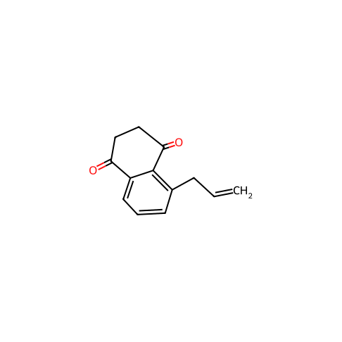 C=CCc1cccc2c1C(=O)CCC2=O